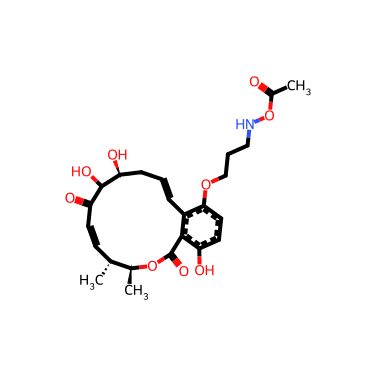 CC(=O)ONCCCOc1ccc(O)c2c1/C=C/C[C@H](O)C(O)C(=O)/C=C\[C@@H](C)[C@H](C)OC2=O